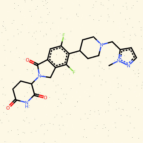 Cn1nccc1CN1CCC(c2c(F)cc3c(c2F)CN(C2CCC(=O)NC2=O)C3=O)CC1